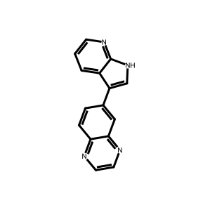 c1cnc2[nH]cc(-c3ccc4nccnc4c3)c2c1